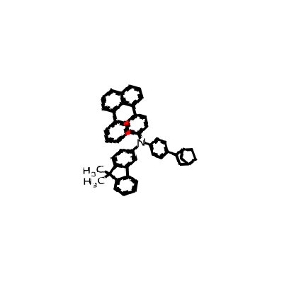 CC1(C)c2ccccc2-c2cc(N(c3ccc(-c4cccc5cccc(-c6ccccc6)c45)cc3)c3ccc(C4CC5CCC4C5)cc3)ccc21